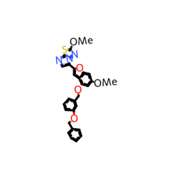 COc1cc(OCc2cccc(OCc3ccccc3)c2)c2cc(-c3cnc4sc(OC)nn34)oc2c1